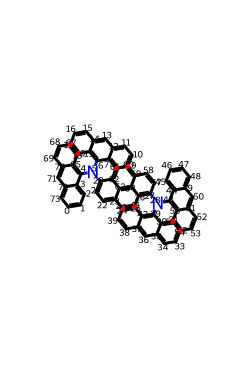 c1ccc2c(N(c3c4ccccc4cc4ccccc34)c3ccc4ccc5c(N(c6c7ccccc7cc7ccccc67)c6c7ccccc7cc7ccccc67)ccc6ccc3c4c65)c3ccccc3cc2c1